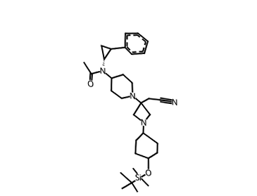 CC(=O)N(C1CCN(C2(CC#N)CN(C3CCC(O[Si](C)(C)C(C)(C)C)CC3)C2)CC1)[C@@H]1CC1c1ccccc1